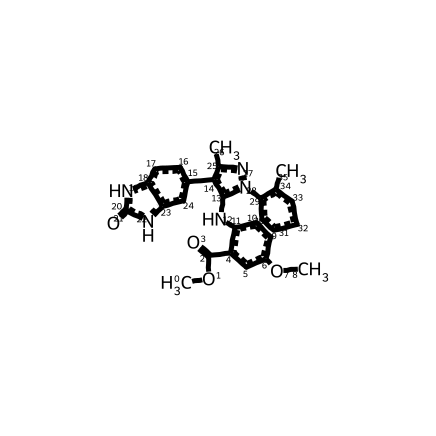 COC(=O)c1cc(OC)ccc1Nc1c(-c2ccc3[nH]c(=O)[nH]c3c2)c(C)nn1-c1ccccc1C